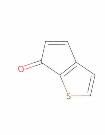 O=C1C=Cc2ccsc21